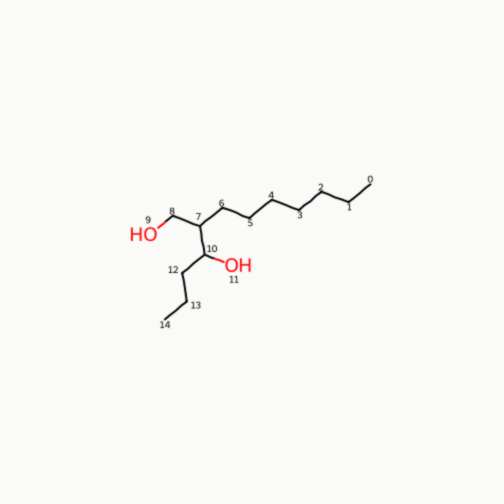 CCCCCCCC(CO)C(O)CCC